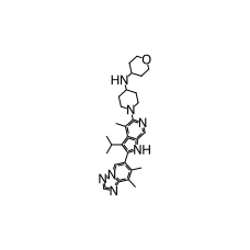 Cc1c(-c2[nH]c3cnc(N4CCC(NC5CCOCC5)CC4)c(C)c3c2C(C)C)cn2ncnc2c1C